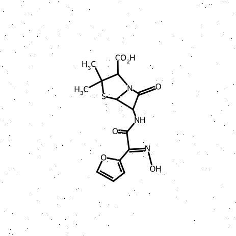 CC1(C)SC2C(NC(=O)C(=NO)c3ccco3)C(=O)N2C1C(=O)O